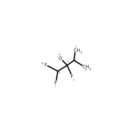 CC(C)C([O])(F)C(F)F